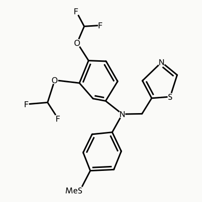 CSc1ccc(N(Cc2cncs2)c2ccc(OC(F)F)c(OC(F)F)c2)cc1